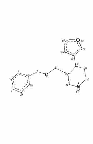 c1ccc(COCC2CNCCC2c2ccoc2)cc1